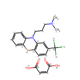 CN(C)CCCN1c2ccccc2Sc2ccc(C(F)(F)F)cc21.O=C(O)/C=C\C(=O)O